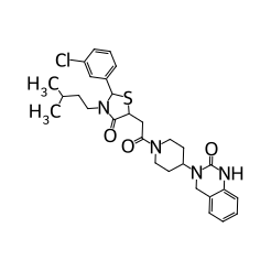 CC(C)CCN1C(=O)C(CC(=O)N2CCC(N3Cc4ccccc4NC3=O)CC2)SC1c1cccc(Cl)c1